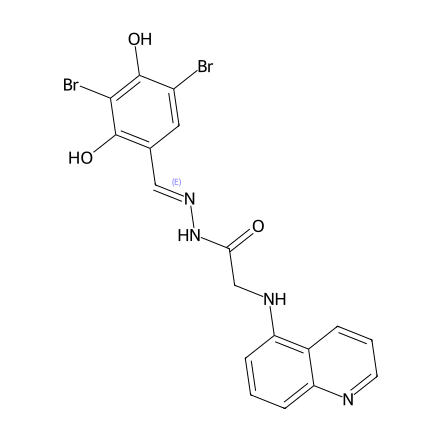 O=C(CNc1cccc2ncccc12)N/N=C/c1cc(Br)c(O)c(Br)c1O